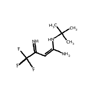 CC(C)(C)N/C(N)=C\C(=N)C(F)(F)F